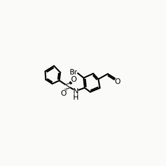 O=Cc1ccc(NS(=O)(=O)c2ccccc2)c(Br)c1